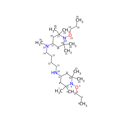 CCCON1C(C)(C)CC(NCCCCN(C)C2CC(C)(C)N(OCCC)C(C)(C)C2)CC1(C)C